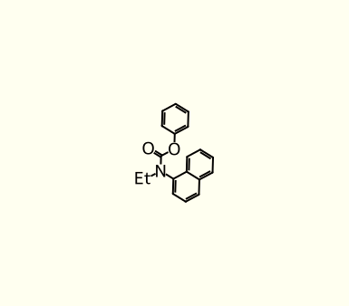 CCN(C(=O)Oc1ccccc1)c1cccc2ccccc12